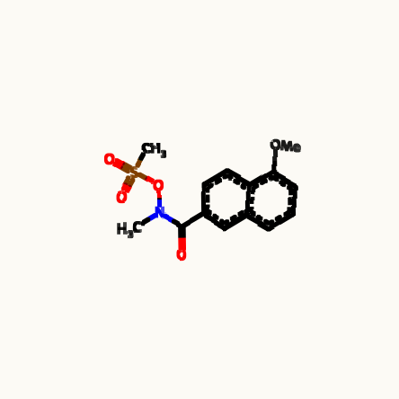 COc1cccc2cc(C(=O)N(C)OS(C)(=O)=O)ccc12